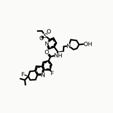 CCS(=O)(=O)c1ccc([C@@H](CCN2CCC(O)CC2)NC(=O)c2cc(F)c3nc4c(cc3c2)C[C@@](F)(C(C)C)CC4)cn1